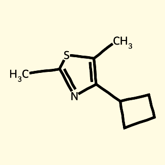 Cc1nc(C2CCC2)c(C)s1